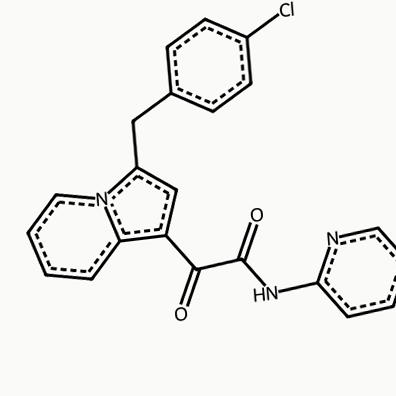 O=C(Nc1ccccn1)C(=O)c1cc(Cc2ccc(Cl)cc2)n2ccccc12